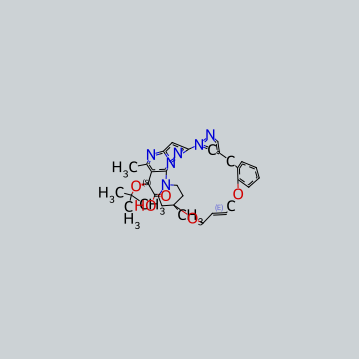 Cc1nc2cc3nn2c(c1[C@H](OC(C)(C)C)C(=O)O)N1CCC(C)(CC1)OC/C=C/COc1ccccc1Cc1cnn-3c1